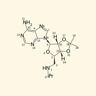 CC(C)NC[C@H]1O[C@@H](n2cnc3c(N)ncnc32)[C@@H]2OC(C)(C)O[C@@H]21